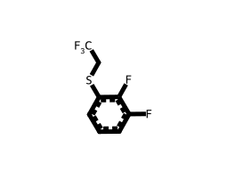 Fc1cccc(SCC(F)(F)F)c1F